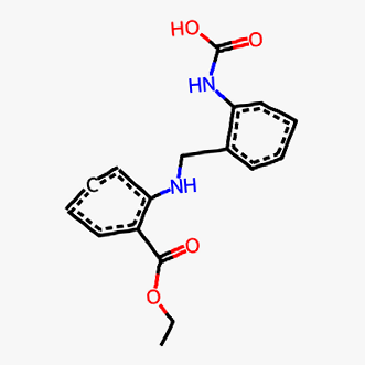 CCOC(=O)c1ccccc1NCc1ccccc1NC(=O)O